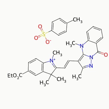 CCOC(=O)c1ccc2c(c1)C(C)(C)C(C=Cc1c(C)nn3c(=O)c4ccccc4n(C)c13)=[N+]2C.Cc1ccc(S(=O)(=O)[O-])cc1